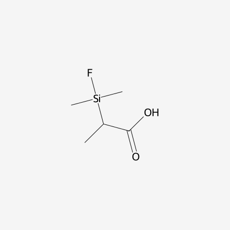 CC(C(=O)O)[Si](C)(C)F